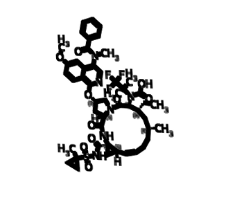 CC[C@@H]1C[C@H](C)CCC=C[C@@H]2C[C@@]2(C(=O)NS(=O)(=O)C2(C)CC2)NC(=O)[C@@H]2C[C@@H](Oc3ncc(N(C)C(=O)c4ccccc4)c4cc(OC)ccc34)CN2C(=O)[C@H]1N(C(=O)O)C(C)(C)C(F)(F)F